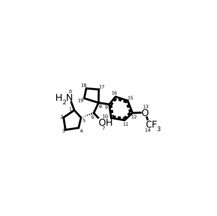 NC1CCC[C@H]1C(O)C1(c2ccc(OC(F)(F)F)cc2)CCC1